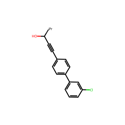 CC(C)C(O)C#Cc1ccc(-c2cccc(Cl)c2)cc1